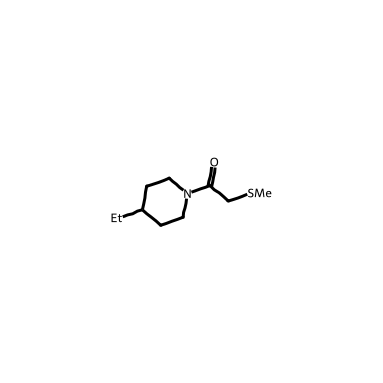 CCC1CCN(C(=O)CSC)CC1